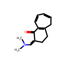 CN(C)C=C1CCC2=C(C=CC=CC2)C1=O